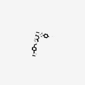 COc1ccc(S(=O)(=O)N2CCNC(=O)C2Cc2cn(CCc3ccc(C4=NCCN4)cc3)nn2)cc1